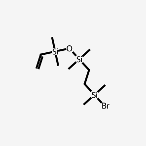 C=C[Si](C)(C)O[Si](C)(C)CC[Si](C)(C)Br